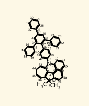 CC1(C)C2=C(C(N(c3ccccc3)c3ccc(-c4c(-c5ccccc5)cc(-c5ccccc5)cc4-c4ccccc4)cc3)=CCC=C2)c2ccccc21